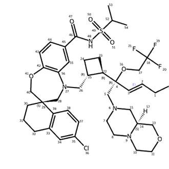 CC/C=C/[C@](CN1CCN2CCOC[C@@H]2C1)(OCC(F)(F)F)[C@@H]1CC[C@H]1CN1C[C@@]2(CCCc3cc(Cl)ccc32)COc2ccc(C(=O)NS(=O)(=O)C(C)C)cc21